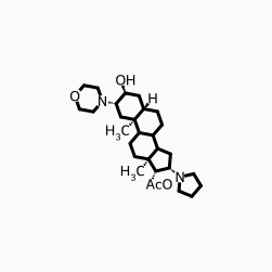 CC(=O)O[C@H]1[C@@H](N2CCCC2)CC2C3CC[C@H]4C[C@H](O)[C@@H](N5CCOCC5)C[C@]4(C)C3CC[C@@]21C